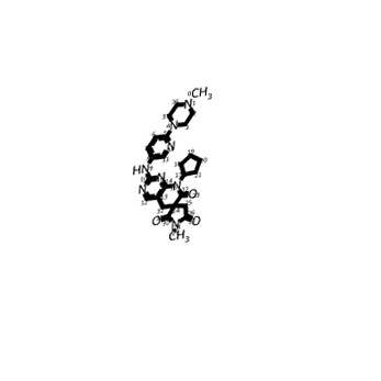 CN1CCN(c2ccc(Nc3ncc4c(n3)N(C3CCCC3)C(=O)C3(CC(=O)N(C)C3=O)C4)cn2)CC1